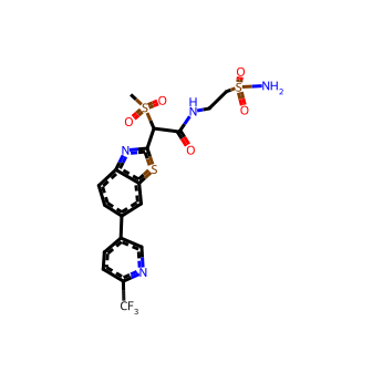 CS(=O)(=O)C(C(=O)NCCS(N)(=O)=O)c1nc2ccc(-c3ccc(C(F)(F)F)nc3)cc2s1